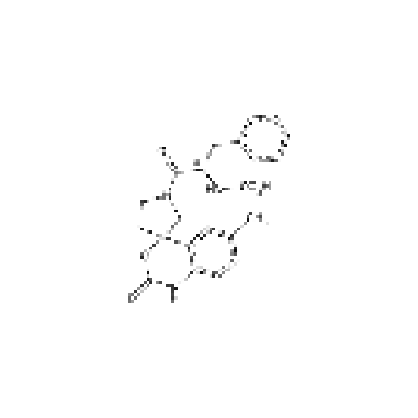 Cc1ccc2c(c1)C1(CCN(C(=O)[C@H](Cc3ccccc3)NC(=O)O)C1)OC(=O)N2